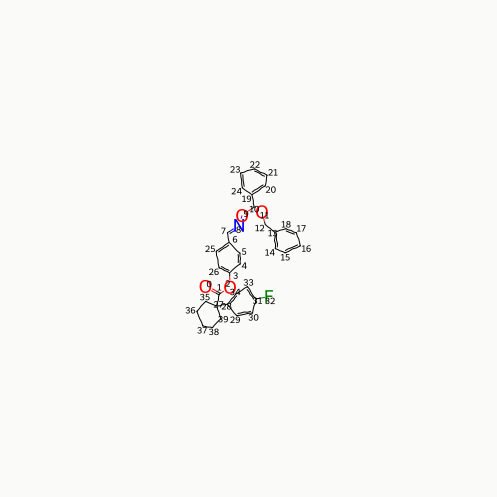 O=C(Oc1ccc(C=NOC(OCc2ccccc2)c2ccccc2)cc1)C1(c2ccc(F)cc2)CCCCC1